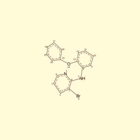 Brc1cccnc1Nc1ccccc1Oc1ccccc1